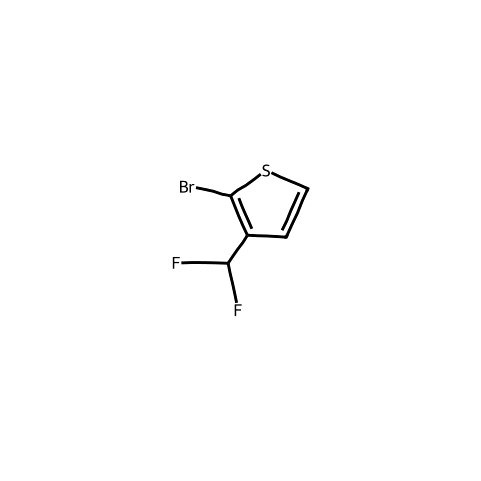 FC(F)c1ccsc1Br